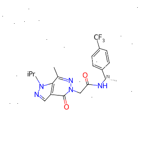 Cc1nn(CC(=O)N[C@@H](C)c2ccc(C(F)(F)F)cc2)c(=O)c2cnn(C(C)C)c12